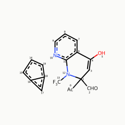 CC(=O)C1(C=O)C=C(O)c2cccnc2N1C(F)(F)F.c1cc2cc-2c1